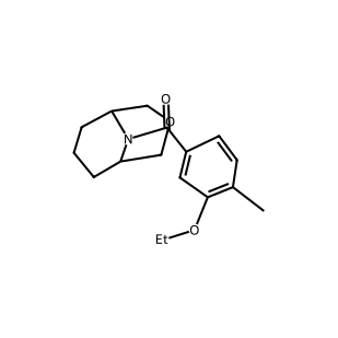 CCOc1cc(C(=O)N2C3CCCC2COC3)ccc1C